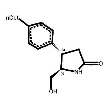 CCCCCCCCc1ccc([C@@H]2CC(=O)N[C@H]2CO)cc1